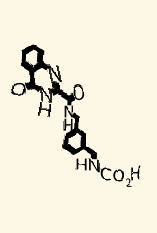 O=C(O)NCc1cccc(CNC(=O)c2nc3ccccc3c(=O)[nH]2)c1